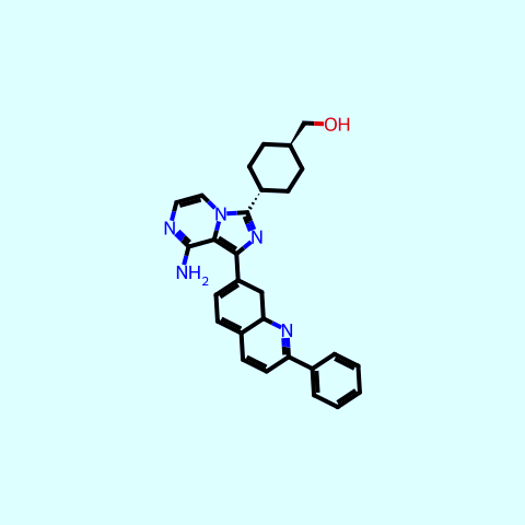 Nc1nccn2c1c(C1=CC=C3C=CC(c4ccccc4)=NC3C1)nc2[C@H]1CC[C@H](CO)CC1